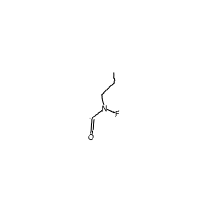 CCCN(F)[C]=O